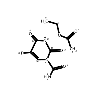 CCOC(C)=O.NC(=O)n1cc(F)c(=O)[nH]c1=O